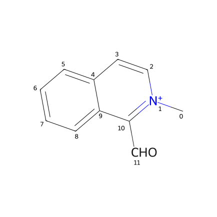 C[n+]1ccc2ccccc2c1C=O